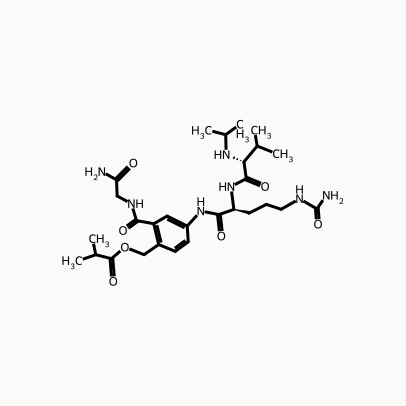 CC(C)N[C@@H](C(=O)N[C@@H](CCCNC(N)=O)C(=O)Nc1ccc(COC(=O)C(C)C)c(C(=O)NCC(N)=O)c1)C(C)C